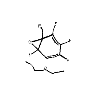 C[CH2][Al][CH2]C.FC1=CC2(F)OC2(F)C(F)=C1F